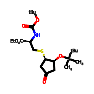 CCOC(=O)[C@H](CS[C@H]1CC(=O)C[C@@H]1O[Si](C)(C)C(C)(C)C)NC(=O)OC(C)(C)C